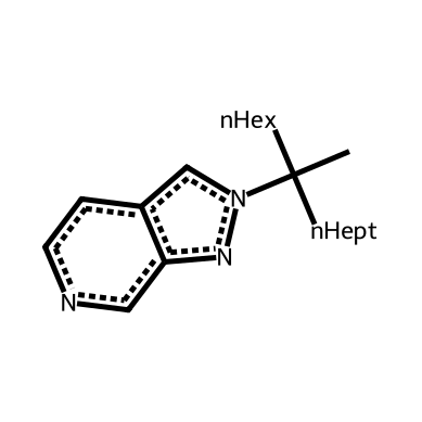 CCCCCCCC(C)(CCCCCC)n1cc2ccncc2n1